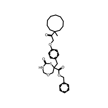 CC1(C(=O)COc2ccc(CC3(C(=O)OCc4ccccc4)COCNC(=O)S3)cc2)CCCCCCCCC1